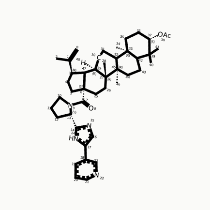 C=C(C)[C@@H]1CC[C@]2(C(=O)N3CCC[C@H]3c3ncc(-c4cccnc4)[nH]3)CC[C@]3(C)[C@H](CCC4[C@@]5(C)CC[C@H](OC(C)=O)C(C)(C)C5CC[C@]43C)C12